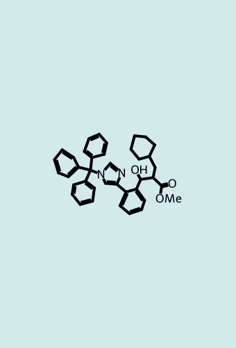 COC(=O)C(CC1CCCCC1)C(O)c1ccccc1-c1cn(C(c2ccccc2)(c2ccccc2)c2ccccc2)cn1